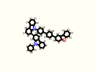 c1ccc(-n2c3ccccc3c3ccc(-c4cccc5c6ccccc6n(-c6ccc(-c7ccc(-c8ccc9oc%10ccccc%10c9c8)cc7)cc6)c45)cc32)cc1